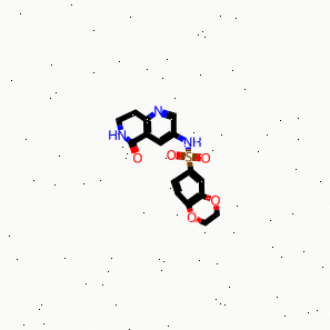 O=C1NCCc2ncc(NS(=O)(=O)c3ccc4c(c3)OCCO4)cc21